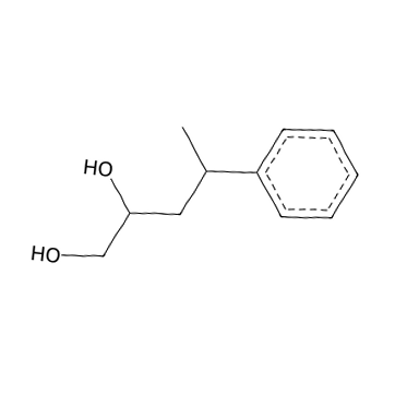 CC(CC(O)CO)c1ccccc1